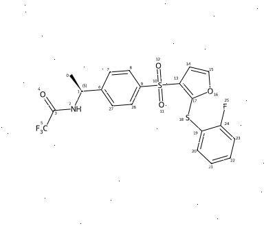 C[C@H](NC(=O)C(F)(F)F)c1ccc(S(=O)(=O)c2ccoc2Sc2ccccc2F)cc1